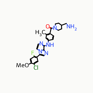 COc1cc(F)c(-c2cnc3c(Nc4ccc(C(=O)N5CCC(CN)CC5)c(C)c4)nccn23)cc1Cl